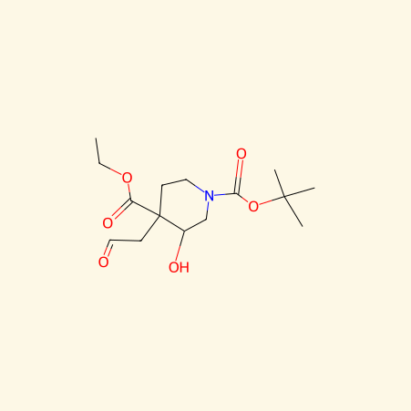 CCOC(=O)C1(CC=O)CCN(C(=O)OC(C)(C)C)CC1O